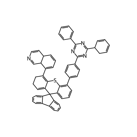 C1=CCC(c2nc(-c3ccccc3)nc(-c3ccc(-c4cccc5c4SC4=C(C6=CC=CC7C=CN=CC67)CCC=C4C54c5ccccc5-c5ccccc54)cc3)n2)C=C1